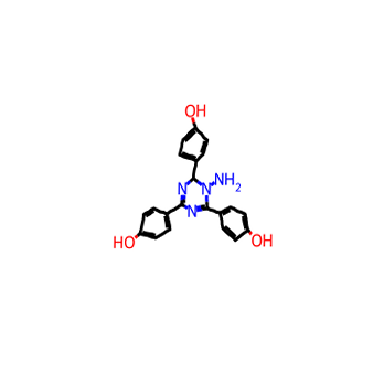 NN1C(c2ccc(O)cc2)=NC(c2ccc(O)cc2)=NC1c1ccc(O)cc1